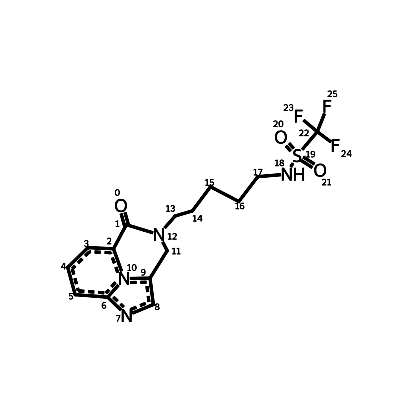 O=C1c2cccc3ncc(n23)CN1CCCCCNS(=O)(=O)C(F)(F)F